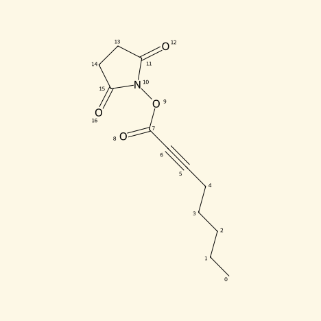 CCCCCC#CC(=O)ON1C(=O)CCC1=O